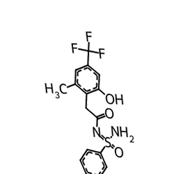 Cc1cc(C(F)(F)F)cc(O)c1CC(=O)N=S(N)(=O)c1ccccc1